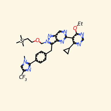 CCOc1ncnc(C2CC2)c1-c1ncc2nn(COCC[Si](C)(C)C)c(Cc3ccc(-c4nc(C(F)(F)F)cn4C)cc3)c2n1